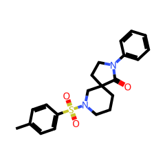 Cc1ccc(S(=O)(=O)N2CCCC3(CCN(c4ccccc4)C3=O)C2)cc1